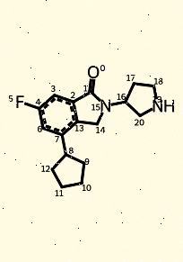 O=C1c2cc(F)cc(C3CCCC3)c2CN1C1CCNC1